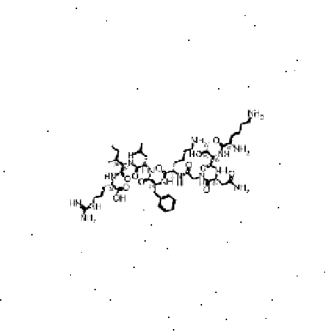 CC[C@H](C)[C@H](NC(=O)[C@H](CC(C)C)NC(=O)[C@H](Cc1ccccc1)NC(=O)[C@H](CCCCN)NC(=O)CNC(=O)[C@H](CC(N)=O)NC(=O)[C@@H](NC(=O)[C@@H](N)CCCCN)[C@@H](C)O)C(=O)N[C@@H](CCCNC(=N)N)C(=O)O